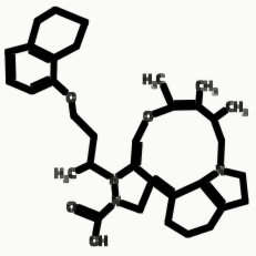 C/C1=C(\C)C(C)CN2CCC3=C2/C(=C2/CN(C(=O)O)N(C(C)CCOc4cccc5c4CCCC5)/C2=C/O1)CCC3